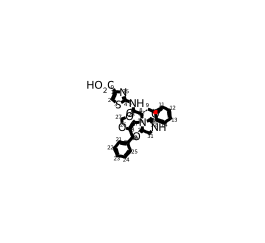 O=C(O)c1csc(NC(=O)[C@H](Cc2ccccc2)[N+]2(C3=C(Cc4ccccc4)OCO3)C(=O)CNC2=O)n1